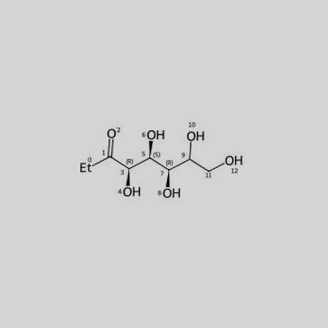 CCC(=O)[C@H](O)[C@@H](O)[C@H](O)C(O)CO